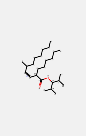 CCCCCCC(C)/C=C\C(CCCCCC)C(=O)OC(C(C)C)C(C)C